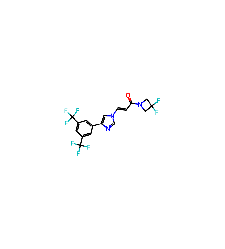 O=C(C=Cn1cnc(-c2cc(C(F)(F)F)cc(C(F)(F)F)c2)c1)N1CC(F)(F)C1